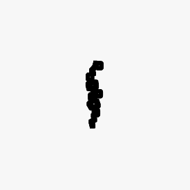 C=CCCOc1ccc(OC(=O)c2ccc(OCCC3CO3)cc2)cc1